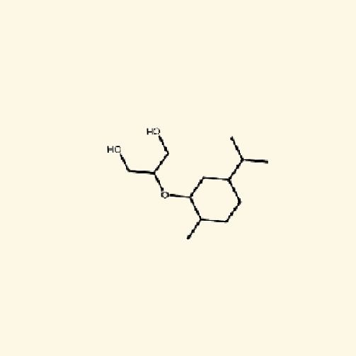 CC(C)C1CCC(C)C(OC(CO)CO)C1